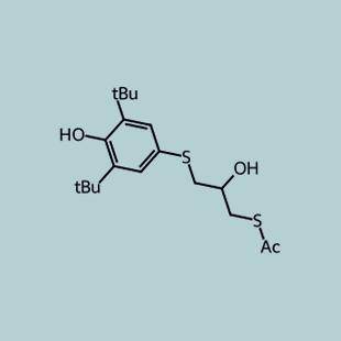 CC(=O)SCC(O)CSc1cc(C(C)(C)C)c(O)c(C(C)(C)C)c1